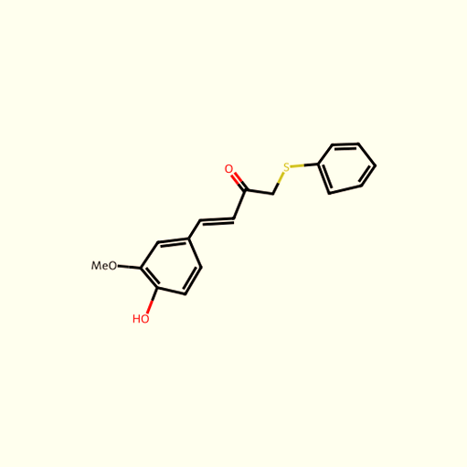 COc1cc(/C=C/C(=O)CSc2ccccc2)ccc1O